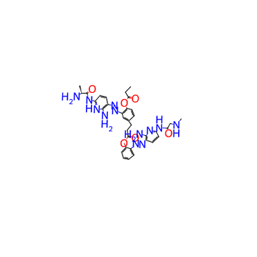 CCC(=O)Oc1ccc(CCC(=O)Oc2ccccc2/N=N/c2ccc(NC(=O)CNC)nc2N)cc1/N=N/c1ccc(NC(=O)[C@H](C)N)nc1N